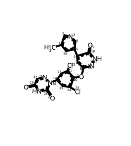 Cc1cncc(-c2cc(Oc3c(Cl)cc(-n4ncc(=O)[nH]c4=O)cc3Cl)n[nH]c2=O)c1